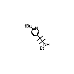 CCNC(C)(C)C(C)(C)c1ccc(C(C)(C)C)nc1